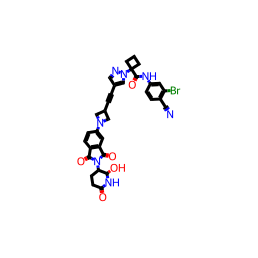 N#Cc1ccc(NC(=O)C2(n3cc(C#CC4CN(c5ccc6c(c5)C(=O)N(C5CCC(=O)NC5O)C6=O)C4)cn3)CCC2)cc1Br